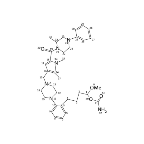 COC(CCCc1ccccc1N1CCN(Cc2cc(C(=O)N3CCN(c4ccccc4)CC3C)n(C)c2C)CC1)OC(N)=O